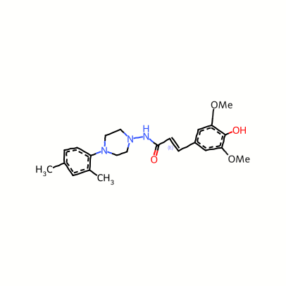 COc1cc(/C=C/C(=O)NN2CCN(c3ccc(C)cc3C)CC2)cc(OC)c1O